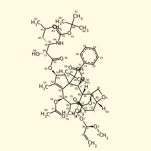 C=C[C@H](OC)O[C@H]1C[C@H]2OC[C@@]2(OC(C)=O)[C@H]2[C@H](OC(=O)c3ccccc3)C3(C(C)(C)O)C[C@H](OC(=O)[C@H](O)[C@H](CC(C)C)NC(=O)OC(C)(C)C)C(C)=C3[C@H](OC(C)=O)C(C)[C@]12C